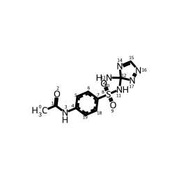 CC(=O)Nc1ccc(S(=O)(=O)NC2(N)N=CN=N2)cc1